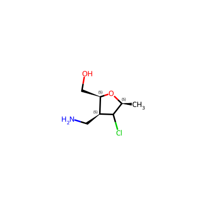 C[C@@H]1O[C@H](CO)[C@H](CN)C1Cl